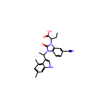 CCC(C(=O)O)n1c(=O)n(C(C)c2c[nH]c3cc(C)cc(C)c23)c2ccc(C#N)cc21